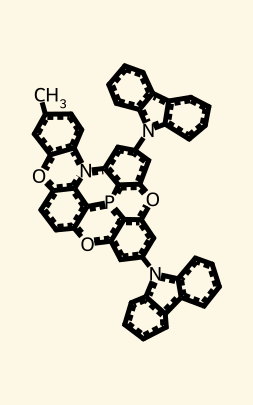 Cc1ccc2c(c1)oc1ccc3oc4cc(-n5c6ccccc6c6ccccc65)cc5oc6cc(-n7c8ccccc8c8ccccc87)cc7c6p(c54)c3c1n27